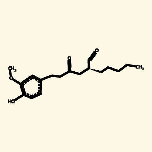 CCCCC[C@@H](C=O)CC(=O)CCc1ccc(O)c(OC)c1